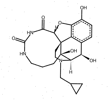 O=C1NCCC[C@@]2(O)[C@H]3[C@H](O)c4ccc(O)c5c4[C@@]2(CCN3CC2CC2)[C@@H](O5)C(=O)N1